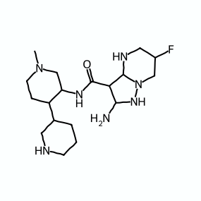 CN1CCC(C2CCCNC2)C(NC(=O)C2C(N)NN3CC(F)CNC23)C1